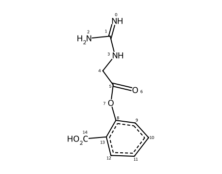 N=C(N)NCC(=O)Oc1ccccc1C(=O)O